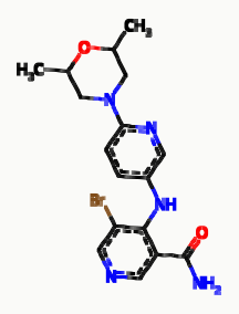 CC1CN(c2ccc(Nc3c(Br)cncc3C(N)=O)cn2)CC(C)O1